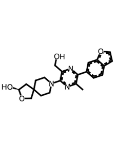 Cc1nc(N2CCC3(CC2)CO[C@@H](O)C3)c(CO)nc1-c1ccc2ccoc2c1